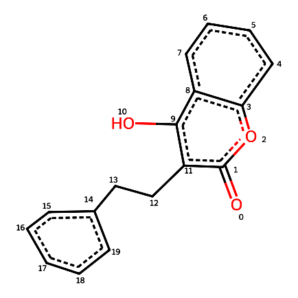 O=c1oc2ccccc2c(O)c1CCc1ccccc1